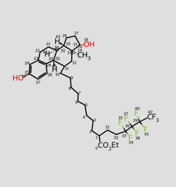 CCOC(=O)C(CCCCCCCCCC1C[C@]2(C)[C@@H](O)CC[C@H]2[C@@H]2CCc3cc(O)ccc3[C@@H]12)CCC(F)(F)C(F)(F)C(F)(F)C(F)(F)F